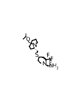 CCC(/C=C(\N=C/N)C(F)(F)F)SC[C@@H]1CC[C@]2(COC(C)C)CCCN12